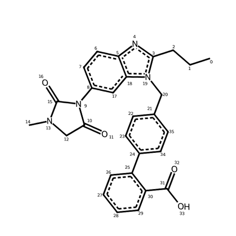 CCCc1nc2ccc(N3C(=O)CN(C)C3=O)cc2n1Cc1ccc(-c2ccccc2C(=O)O)cc1